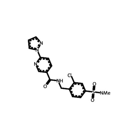 CNS(=O)(=O)c1ccc(CNC(=O)c2ccc(-n3cccn3)nc2)c(Cl)c1